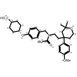 COc1ccc(C2(CCN(Cc3ccc(O[C@H]4CC[C@H](C(=O)O)CC4)cc3)C(=O)C(C)(C)C)CCOC(C)(C)C2)cc1